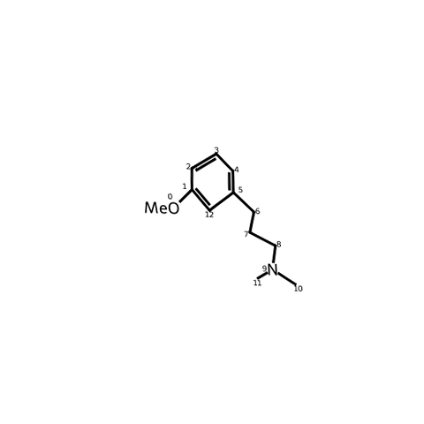 COc1[c]ccc(CCCN(C)C)c1